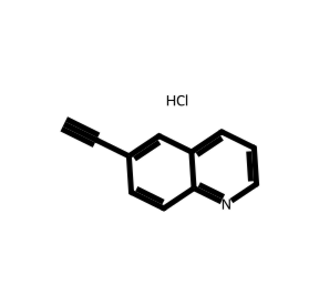 C#Cc1ccc2ncccc2c1.Cl